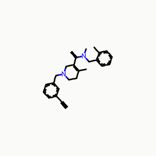 C#Cc1cccc(CN2CCC(C)=C(C(=C)N(C)Cc3ccccc3C)C2)c1